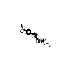 CCOC(=O)c1ccc(-c2ccc(/C=N/NC(N)=O)o2)cc1